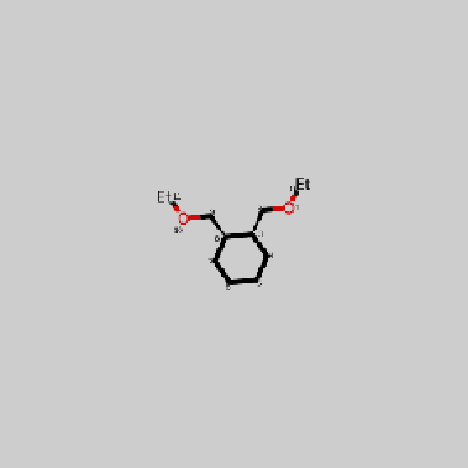 CCOC[C@H]1CCCC[C@H]1COCC